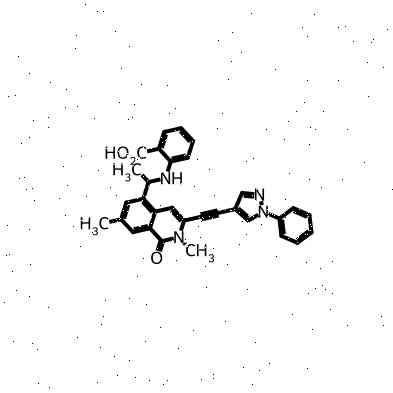 Cc1cc(C(C)Nc2ccccc2C(=O)O)c2cc(C#Cc3cnn(-c4ccccc4)c3)n(C)c(=O)c2c1